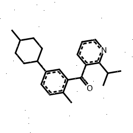 Cc1ccc(C2CCC(C)CC2)cc1C(=O)c1cccnc1C(C)C